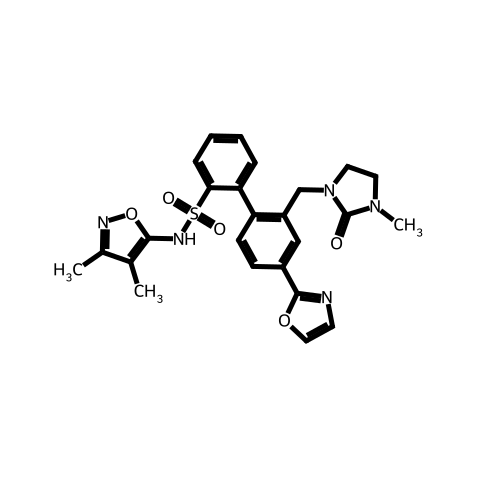 Cc1noc(NS(=O)(=O)c2ccccc2-c2ccc(-c3ncco3)cc2CN2CCN(C)C2=O)c1C